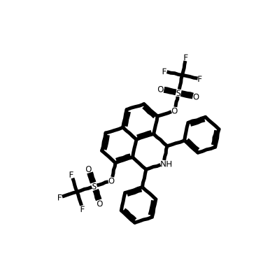 O=S(=O)(Oc1ccc2ccc(OS(=O)(=O)C(F)(F)F)c3c2c1C(c1ccccc1)NC3c1ccccc1)C(F)(F)F